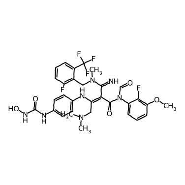 COc1cccc(N(C=O)C(=O)/C(C(=N)N(C)Cc2c(F)cccc2C(F)(F)F)=C(\CN(C)C)Nc2ccc(NC(=O)NO)cc2)c1F